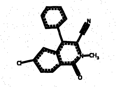 Cn1c(C#N)c(-c2ccccc2)c2cc(Cl)ccc2c1=O